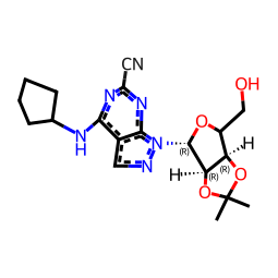 CC1(C)O[C@@H]2[C@H](O1)C(CO)O[C@H]2n1ncc2c(NC3CCCC3)nc(C#N)nc21